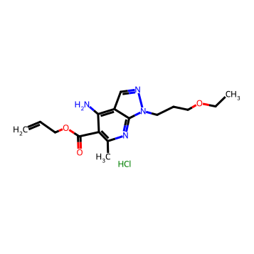 C=CCOC(=O)c1c(C)nc2c(cnn2CCCOCC)c1N.Cl